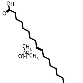 CCCCCCCCC=CCCCCCCCC(=O)O.C[NH+](C)[O-]